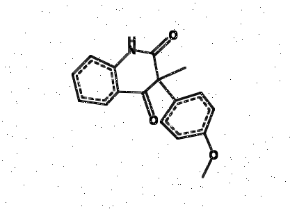 COc1ccc(C2(C)C(=O)Nc3ccccc3C2=O)cc1